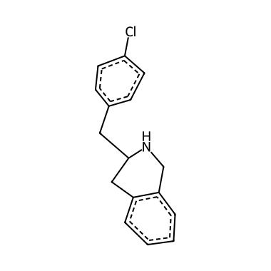 Clc1ccc(CC2Cc3ccccc3CN2)cc1